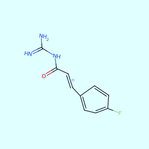 N=C(N)NC(=O)/C=C/c1ccc(F)cc1